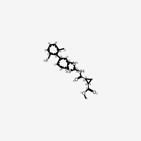 COC(=O)[C@@H]1C[C@@H]1C(=O)Nc1nc2cc(-c3c(C)cccc3F)ccc2s1